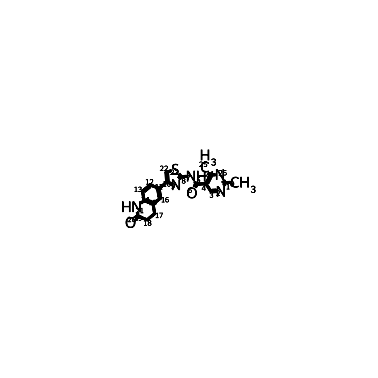 Cc1ncc(C(=O)Nc2nc(-c3ccc4c(c3)CCC(=O)N4)cs2)c(C)n1